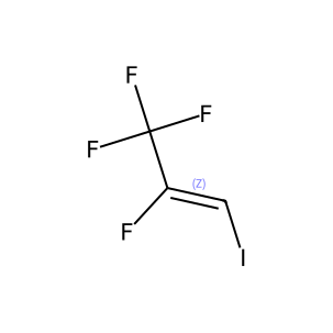 F/C(=C\I)C(F)(F)F